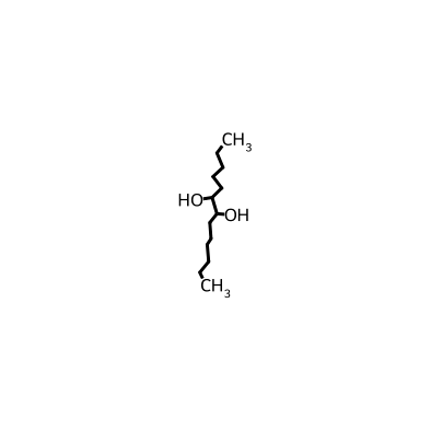 CCCCCCC(O)C(O)CCCCC